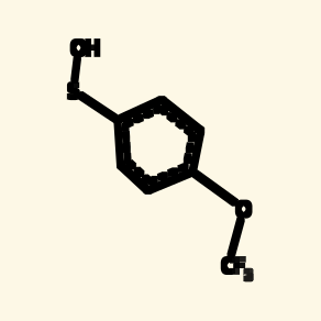 OSc1ccc(OC(F)(F)F)cc1